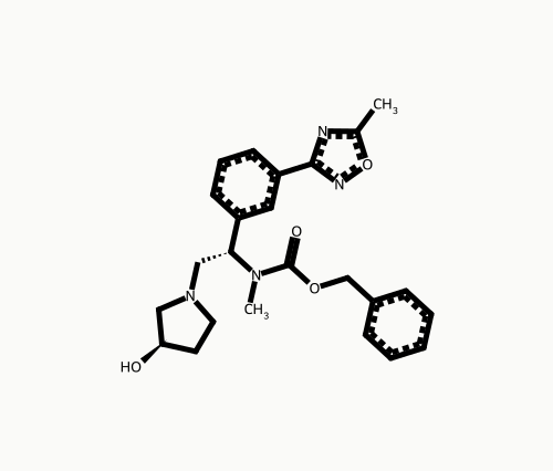 Cc1nc(-c2cccc([C@@H](CN3CC[C@@H](O)C3)N(C)C(=O)OCc3ccccc3)c2)no1